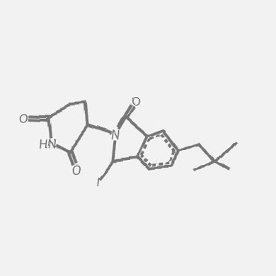 CC(C)(C)Cc1ccc2c(c1)C(=O)N(C1CCC(=O)NC1=O)C2I